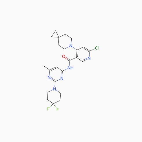 Cc1cc(NC(=O)c2cnc(Cl)cc2N2CCC3(CC2)CC3)nc(N2CCC(F)(F)CC2)n1